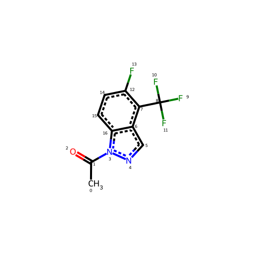 CC(=O)n1ncc2c(C(F)(F)F)c(F)ccc21